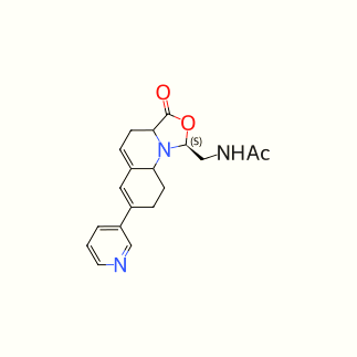 CC(=O)NC[C@@H]1OC(=O)C2CC=C3C=C(c4cccnc4)CCC3N21